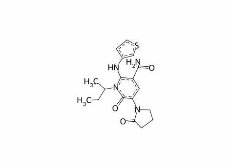 CCC(C)n1c(Nc2ccsc2)c(C(N)=O)cc(N2CCCC2=O)c1=O